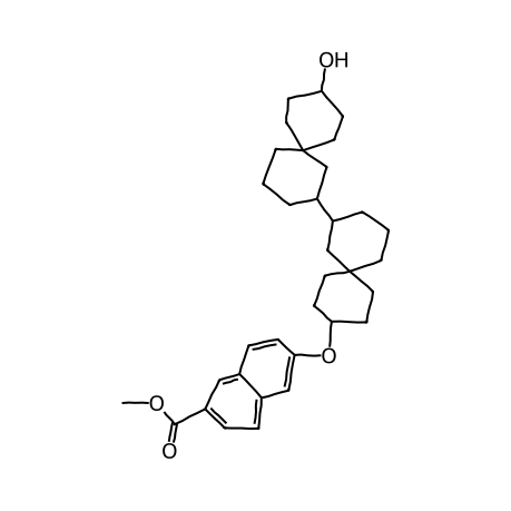 COC(=O)c1ccc2cc(OC3CCC4(CCCC(C5CCCC6(CCC(O)CC6)C5)C4)CC3)ccc2c1